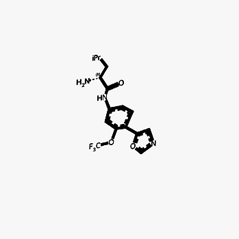 CC(C)C[C@@H](N)C(=O)Nc1ccc(-c2cnco2)c(OC(F)(F)F)c1